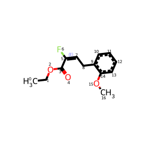 CCOC(=O)/C(F)=C\Cc1ccccc1OC